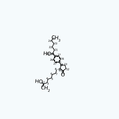 C=C(O)CCCCCC[C@H]1C(=O)CC[C@@H]1c1ccc([C@H](O)CCCCC)cc1